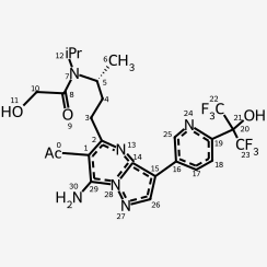 CC(=O)c1c(CC[C@@H](C)N(C(=O)CO)C(C)C)nc2c(-c3ccc(C(O)(C(F)(F)F)C(F)(F)F)nc3)cnn2c1N